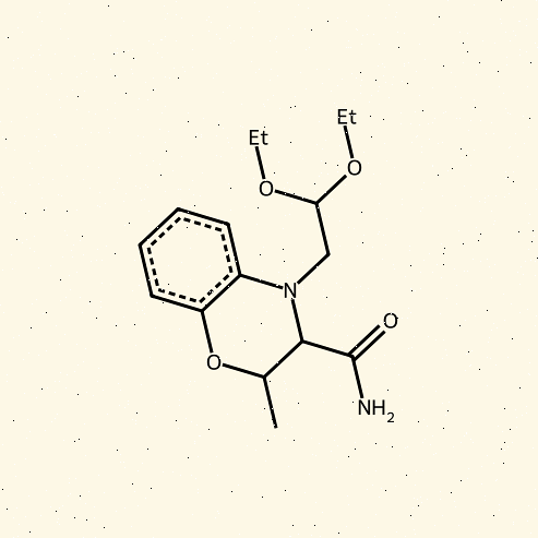 CCOC(CN1c2ccccc2OC(C)C1C(N)=O)OCC